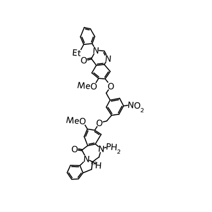 CCc1ccccc1-n1cnc2cc(OCc3cc(COc4cc5c(cc4OC)C(=O)N4c6ccccc6C[C@H]4CN5P)cc([N+](=O)[O-])c3)c(OC)cc2c1=O